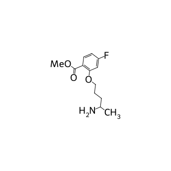 COC(=O)c1ccc(F)cc1OCCCC(C)N